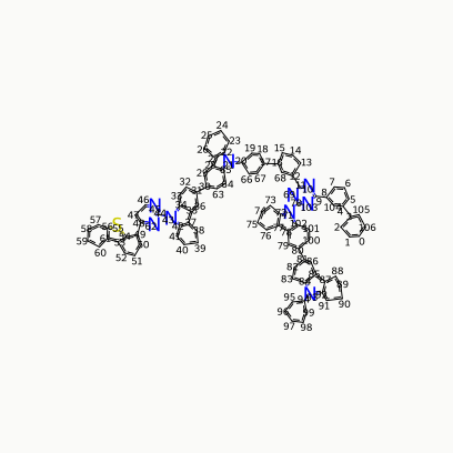 c1ccc(-c2cccc(-c3nc(-c4cccc(-c5ccc(-n6c7ccccc7c7cc(-c8ccc9c(c8)c8ccccc8n9-c8nccc(-c9cccc%10c9sc9ccccc9%10)n8)ccc76)cc5)c4)nc(-n4c5ccccc5c5cc(-c6ccc7c(c6)c6ccccc6n7-c6ccccc6)ccc54)n3)c2)cc1